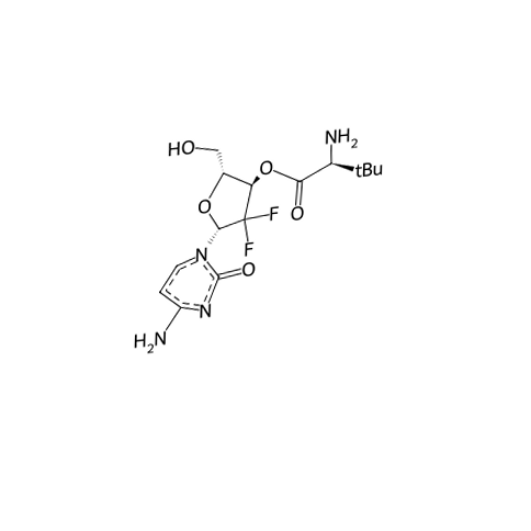 CC(C)(C)[C@H](N)C(=O)O[C@@H]1[C@@H](CO)O[C@@H](n2ccc(N)nc2=O)C1(F)F